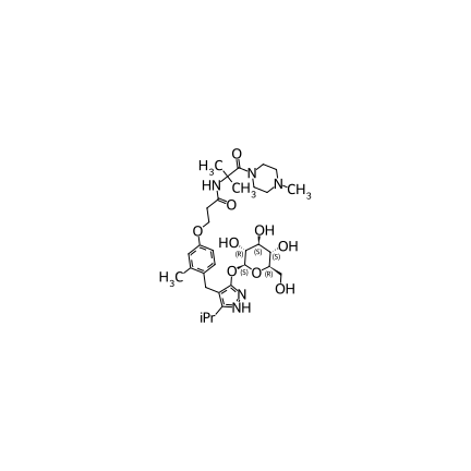 Cc1cc(OCCC(=O)NC(C)(C)C(=O)N2CCN(C)CC2)ccc1Cc1c(O[C@@H]2O[C@H](CO)[C@@H](O)[C@H](O)[C@H]2O)n[nH]c1C(C)C